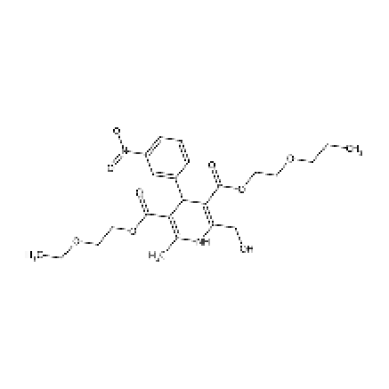 CCCOCCOC(=O)C1=C(CO)NC(C)=C(C(=O)OCCOCC)C1c1cccc([N+](=O)[O-])c1